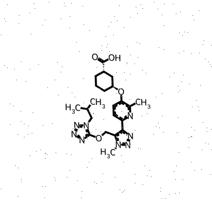 Cc1nc(-c2nnn(C)c2COc2nnnn2CC(C)C)ccc1O[C@H]1CCC[C@H](C(=O)O)C1